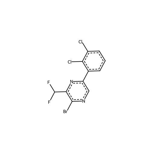 FC(F)c1nc(-c2cccc(Cl)c2Cl)cnc1Br